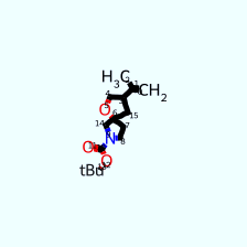 C=C(C)C1COC2(CCN(C(=O)OC(C)(C)C)C2)C1